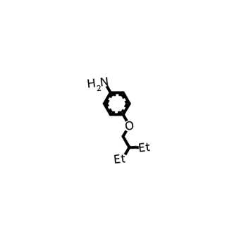 CCC(CC)COc1ccc(N)cc1